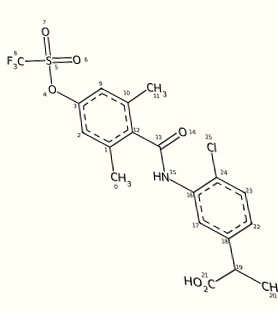 Cc1cc(OS(=O)(=O)C(F)(F)F)cc(C)c1C(=O)Nc1cc(C(C)C(=O)O)ccc1Cl